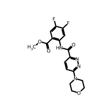 COC(=O)c1cc(F)c(F)cc1NC(=O)c1ccc(N2CCOCC2)nn1